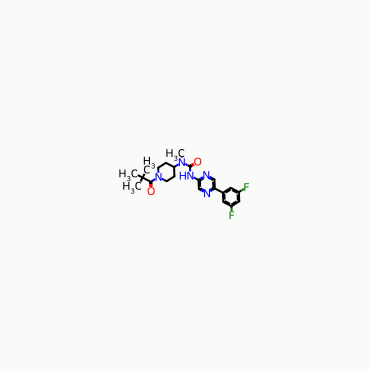 CN(C(=O)Nc1cnc(-c2cc(F)cc(F)c2)cn1)C1CCN(C(=O)C(C)(C)C)CC1